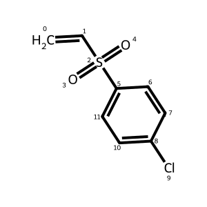 C=CS(=O)(=O)c1c[c]c(Cl)cc1